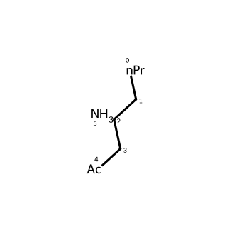 CCCCCCC(C)=O.N